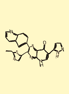 Cc1ncc(-c2nc3[nH]cc(-c4ccn[nH]4)c(=O)c3nc2-c2ccc3ncccc3c2)s1